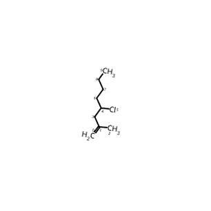 C=C(C)CC(Cl)CCCC